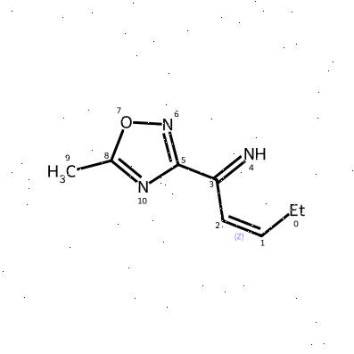 CC/C=C\C(=N)c1noc(C)n1